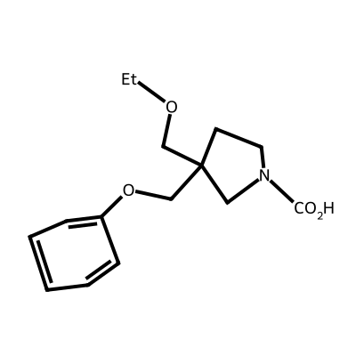 CCOCC1(COc2ccccc2)CCN(C(=O)O)C1